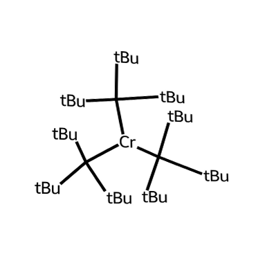 CC(C)(C)[C]([Cr]([C](C(C)(C)C)(C(C)(C)C)C(C)(C)C)[C](C(C)(C)C)(C(C)(C)C)C(C)(C)C)(C(C)(C)C)C(C)(C)C